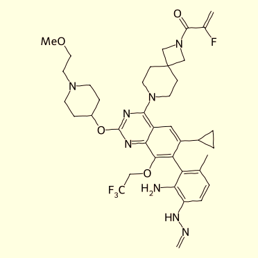 C=NNc1ccc(C)c(-c2c(C3CC3)cc3c(N4CCC5(CC4)CN(C(=O)C(=C)F)C5)nc(OC4CCN(CCOC)CC4)nc3c2OCC(F)(F)F)c1N